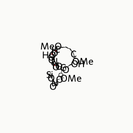 C=C1[C@H](C)C[C@H](C)/C=C/C=C/C=C(\C)[C@@H](OC)C[C@@H]2CC[C@@H](C)[C@@](O)(O2)C(=O)C(=O)N2CCCC[C@H]2C(=O)O[C@H]([C@H](C)C[C@@H]2CC[C@@H](OC[C@@H]3CCC(=O)N3CCOC[Si](C)(C)C)[C@H](OC)C2)CC(=O)[C@H](C)/C=C(\C)[C@@H](O)[C@H]1OC